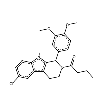 CCCC(=O)N1CCc2c([nH]c3ccc(Cl)cc23)C1c1ccc(OC)c(OC)c1